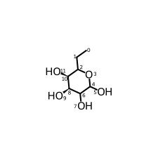 CCC1OC(O)C(O)[C@@H](O)[C@H]1O